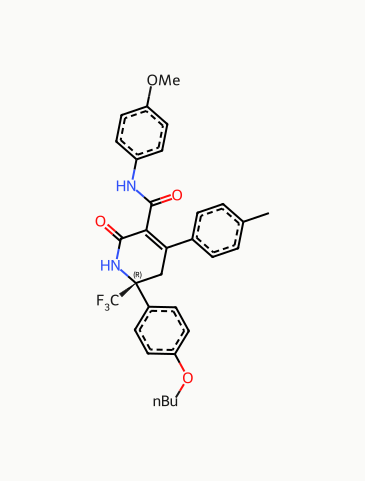 CCCCOc1ccc([C@@]2(C(F)(F)F)CC(c3ccc(C)cc3)=C(C(=O)Nc3ccc(OC)cc3)C(=O)N2)cc1